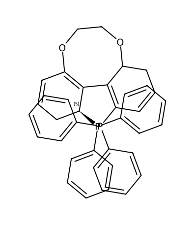 C1=CC(P(c2ccccc2)c2ccccc2)=C2C3=C(C=CC[C@@H]3P(c3ccccc3)c3ccccc3)OCCOC2C1